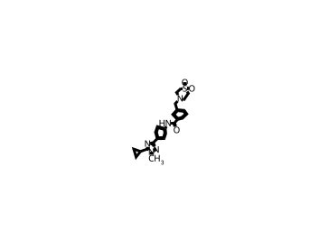 Cn1nc(-c2ccc(NC(=O)c3cccc(CN4CCS(=O)(=O)CC4)c3)cc2)nc1C1CC1